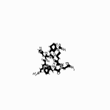 N=C(N)NCCC[C@H](NC(=O)[C@H](Cc1ccccc1)NC(=O)[C@H](Cc1c[nH]cn1)NC(=O)[C@@H](N)CCCCN)C(=O)N[C@@H](Cc1c[nH]c2ccccc12)C(=O)NCC(N)=O